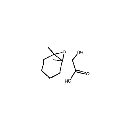 CC12CCCCC1(C)O2.O=C(O)CO